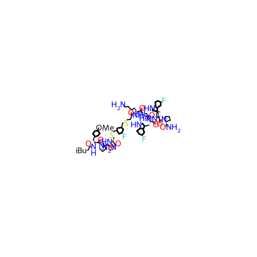 CC[C@H](C)CC(=O)N[C@@H](Cc1ccc(OC)cc1)C(=O)N1CCC[C@@]1(C)C(=O)N[C@@H](CSCc1cc(F)cc(CSCCC(=O)N[C@@H](CCCCN)C(=O)N[C@H](C)C(=O)N[C@@H](Cc2c[nH]c3ccc(F)cc23)C(=O)N[C@@H](Cc2c[nH]c3ccc(F)cc23)C(=O)N2CCC[C@H]2C(N)=O)c1)C(N)=O